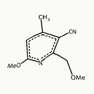 COCc1nc(OC)cc(C)c1C#N